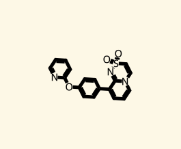 O=S1(=O)C=CN2C=CC=C(c3ccc(Oc4ccccn4)cc3)C2=N1